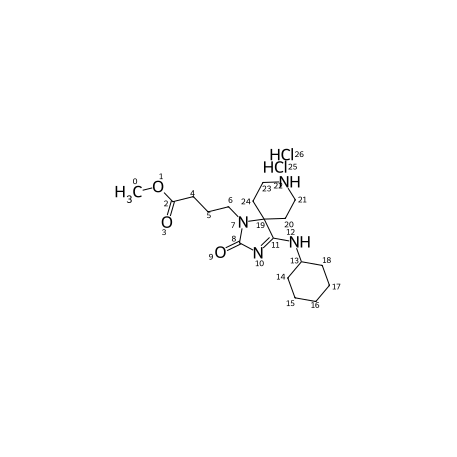 COC(=O)CCCN1C(=O)N=C(NC2CCCCC2)C12CCNCC2.Cl.Cl